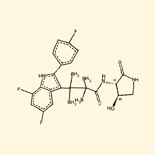 BC(B)(C(=O)N[C@@H]1C(=O)NC[C@H]1O)C(B)(B)c1c(-c2ccc(F)cc2)[nH]c2c(F)cc(F)cc12